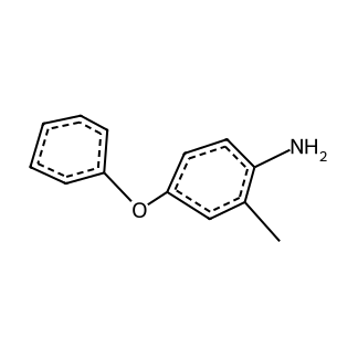 Cc1cc(Oc2ccccc2)ccc1N